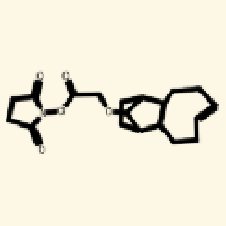 O=C(COC1C2CCC1C1CC/C=C/CCC12)ON1C(=O)CCC1=O